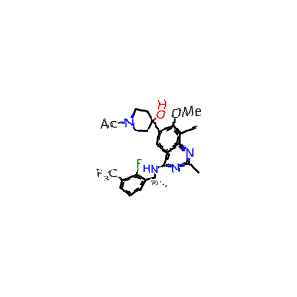 COc1c(C2(O)CCN(C(C)=O)CC2)cc2c(N[C@H](C)c3cccc(C(F)(F)F)c3F)nc(C)nc2c1C